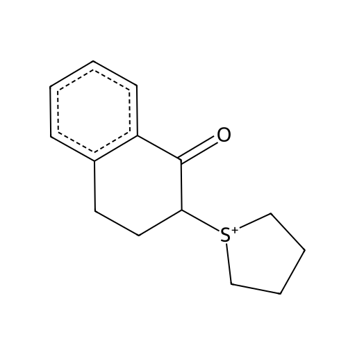 O=C1c2ccccc2CCC1[S+]1CCCC1